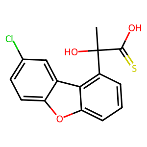 CC(O)(C(O)=S)c1cccc2oc3ccc(Cl)cc3c12